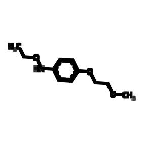 CCONc1ccc(OCCOC)cc1